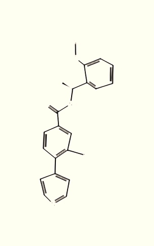 COc1ccccc1[C@H](C)NC(=O)c1ccc(-c2ccncc2)c(F)c1